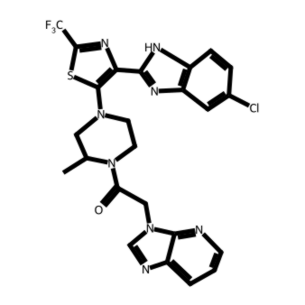 CC1CN(c2sc(C(F)(F)F)nc2-c2nc3cc(Cl)ccc3[nH]2)CCN1C(=O)Cn1cnc2cccnc21